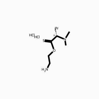 CC(C)[C@@H](C(=S)OCCN)N(C)C.Cl.Cl